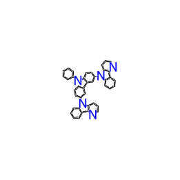 c1ccc(-n2c3ccc(-n4c5ccccc5c5ncccc54)cc3c3cc(-n4c5ccccc5c5ncccc54)ccc32)cc1